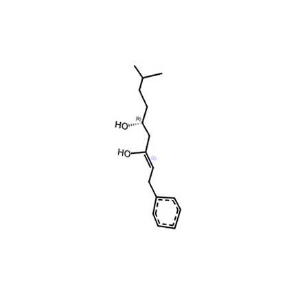 CC(C)CC[C@@H](O)C/C(O)=C/Cc1ccccc1